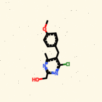 COc1ccc(Cc2c(C)nc(CO)nc2Cl)cc1